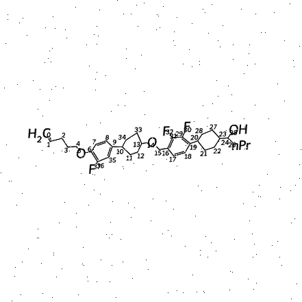 C=CCCCOc1ccc(C2CCC(OCc3ccc(C4CCC(C(O)CCC)CC4)c(F)c3F)CC2)cc1F